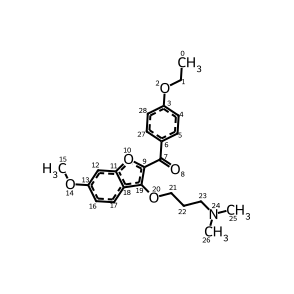 CCOc1ccc(C(=O)c2oc3cc(OC)ccc3c2OCCCN(C)C)cc1